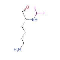 NCCCC[C@H](C=O)NI(I)I